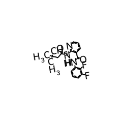 CC(C)(C)CC(=O)Nc1ncccc1C(=O)Nc1cccc(F)c1F